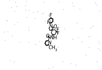 Cc1cccc(C(=O)N[C@H]2CC(F)(F)C[C@]3(CCN(c4ccc(F)cn4)C3=O)C2)n1